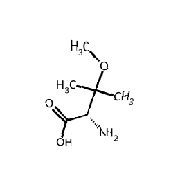 COC(C)(C)[C@H](N)C(=O)O